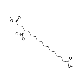 COC(=O)CCCCCCCCCCCCC(CCC(=O)OC)[N+](=O)[O-]